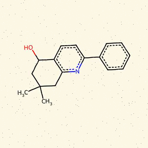 CC1(C)Cc2nc(-c3ccccc3)ccc2C(O)C1